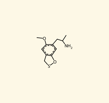 COc1cc2c(cc1CC(C)N)OSC2